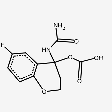 NC(=O)NC1(OC(=O)O)CCOc2ccc(F)cc21